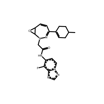 CC1CC=C(C2=NN(CC(=O)Nc3ccn4ncnc4c3F)C3OC3C=C2)CC1